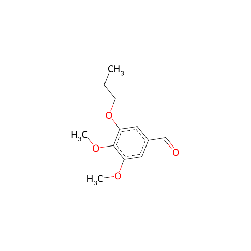 CCCOc1cc(C=O)cc(OC)c1OC